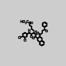 O=C(O)NCCCC[C@H](NC(=O)[C@@H]1Cc2ccccc2CN1C(=O)CCC(=O)c1ccccc1)C(=O)Nc1ccc(Cl)c(Cl)c1